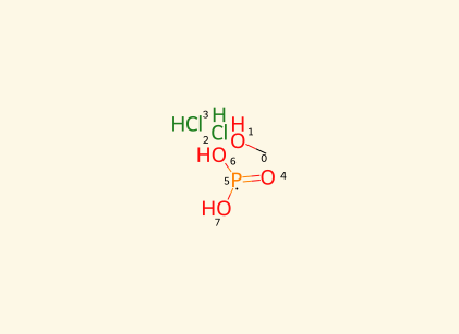 CO.Cl.Cl.O=[P](O)O